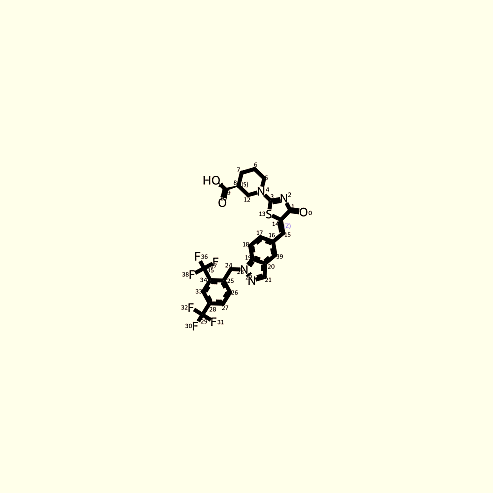 O=C1N=C(N2CCC[C@H](C(=O)O)C2)S/C1=C\c1ccc2c(cnn2Cc2ccc(C(F)(F)F)cc2C(F)(F)F)c1